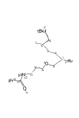 CCC(C)C(CCC(C)CC(C)(C)C)COCCCNC(=O)C(C)C